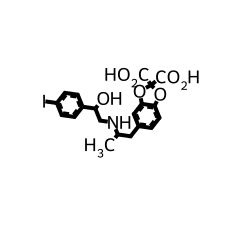 CC(Cc1ccc2c(c1)OC(C(=O)O)(C(=O)O)O2)NCC(O)c1ccc(I)cc1